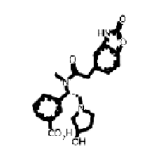 CN(C(=O)Cc1ccc2oc(=O)[nH]c2c1)[C@H](CN1CCC(O)C1)c1cccc(C(=O)O)c1